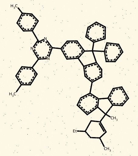 CCC1CC(C2(C)c3ccccc3-c3c(-c4ccc5c(c4)-c4cc(-c6nc(-c7ccc(C)cc7)nc(-c7ccc(C)cc7)n6)ccc4C5(c4ccccc4)c4ccccc4)cccc32)=CC(C)C1